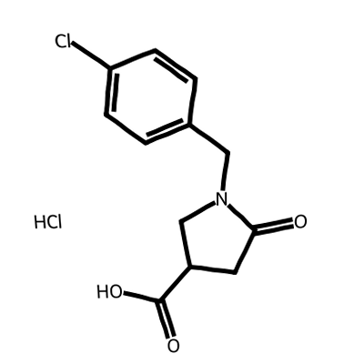 Cl.O=C(O)C1CC(=O)N(Cc2ccc(Cl)cc2)C1